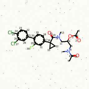 CC(=O)OC(CN(C)C(C)=O)CN(C)C(=O)C1(c2ccc(-c3ccc(Cl)c(Cl)c3)c(F)c2)CC1